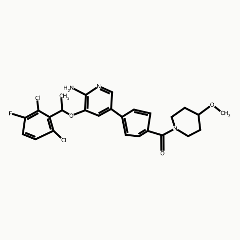 COC1CCN(C(=O)c2ccc(-c3cnc(N)c(OC(C)c4c(Cl)ccc(F)c4Cl)c3)cc2)CC1